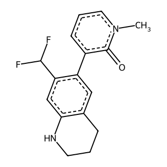 Cn1cccc(-c2cc3c(cc2C(F)F)NCCC3)c1=O